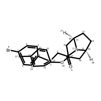 O=C(COc1ccc(Br)cc1)N1[C@@H]2CC[C@H]1CC(Oc1ccc(F)cc1)C2